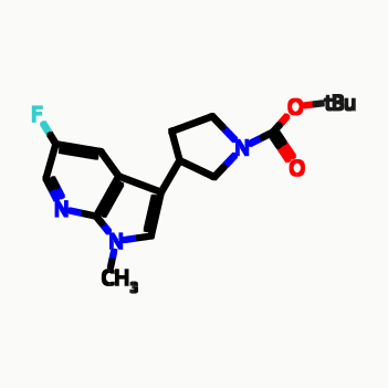 Cn1cc(C2CCN(C(=O)OC(C)(C)C)C2)c2cc(F)cnc21